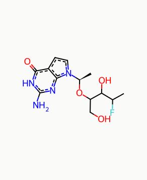 CC(F)C(O)C(CO)O[C@H](C)n1ccc2c(=O)[nH]c(N)nc21